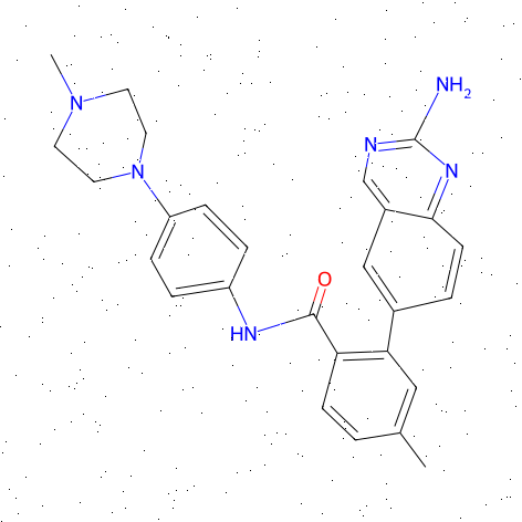 Cc1ccc(C(=O)Nc2ccc(N3CCN(C)CC3)cc2)c(-c2ccc3nc(N)ncc3c2)c1